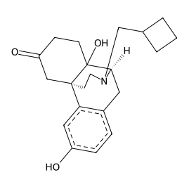 O=C1CCC2(O)[C@H]3Cc4ccc(O)cc4[C@@]2(CCN3CC2CCC2)C1